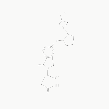 COC1CN(C2CCCC2Oc2ccc3c(c2)CN(C2CCC(=O)NC2=O)C3=O)C1